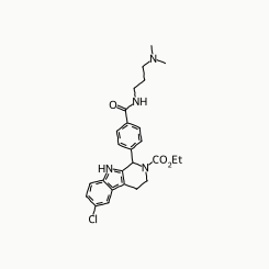 CCOC(=O)N1CCc2c([nH]c3ccc(Cl)cc23)C1c1ccc(C(=O)NCCCN(C)C)cc1